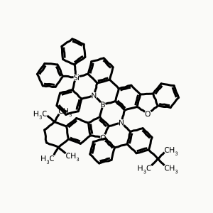 CC(C)(C)c1ccc(N2c3oc4cc5c(cc4c3B3c4c(cc6c(oc7ccccc76)c42)-c2cccc4c2N3c2ccccc2[Si]4(c2ccccc2)c2ccccc2)C(C)(C)CCC5(C)C)c(-c2ccccc2)c1